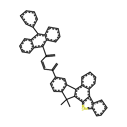 C=C(/C=C\C(=C)c1c2ccccc2c(-c2ccccc2)c2ccccc12)c1ccc2c(c1)-c1c(c3sc4ccccc4c3c3ccccc13)C2(C)C